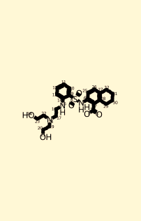 O=C(O)c1c(NS(=O)(=O)c2ccccc2NCCN(CCO)CCO)ccc2c1CCCC2